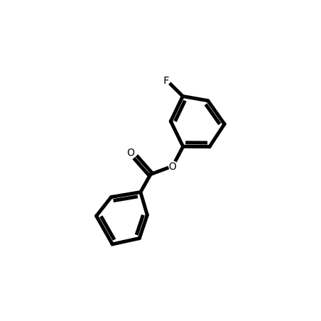 O=C(Oc1cccc(F)c1)c1ccccc1